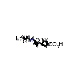 CCNC(=O)N/N=C/c1ccc(-c2ccc(C(=O)O)cc2)o1